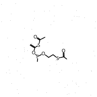 C=C(OP(C)OCCSC(C)=O)SC(C)=O